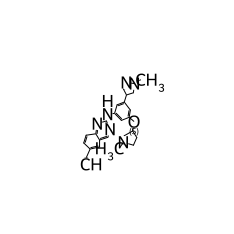 C#Cc1ccc2nc(Nc3cc(O[C@H]4CCN(C)C4)cc(C4C=NN(C)C4)c3)ncc2c1